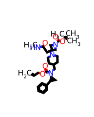 C=CCOC(=O)N(CC1CCN(C2(CC(=O)NC)CN(C(=O)OC(C)(C)C)C2)CC1)C1CC1c1ccccc1